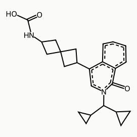 O=C(O)NC1CC2(C1)CC(c1cn(C(C3CC3)C3CC3)c(=O)c3ccccc13)C2